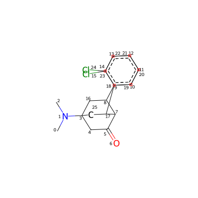 CN(C)C12CC(=O)C(C(c3ccccc3Cl)C1)C(c1ccccc1Cl)C2